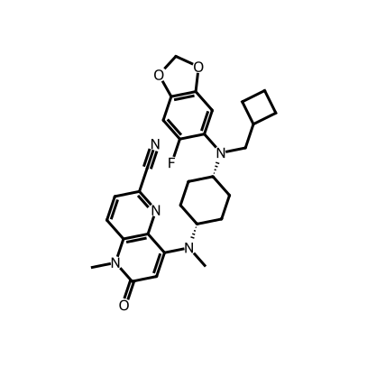 Cn1c(=O)cc(N(C)[C@H]2CC[C@@H](N(CC3CCC3)c3cc4c(cc3F)OCO4)CC2)c2nc(C#N)ccc21